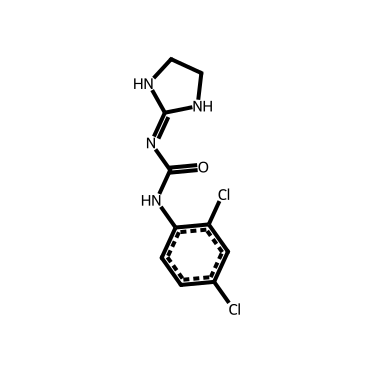 O=C(N=C1NCCN1)Nc1ccc(Cl)cc1Cl